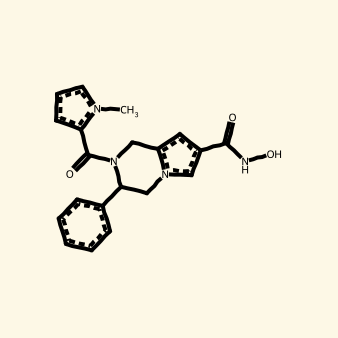 Cn1cccc1C(=O)N1Cc2cc(C(=O)NO)cn2CC1c1ccccc1